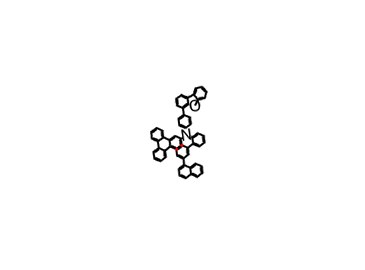 c1cc(-c2ccccc2N(c2ccc(-c3cccc4c3oc3ccccc34)cc2)c2ccc3c4ccccc4c4ccccc4c3c2)cc(-c2cccc3ccccc23)c1